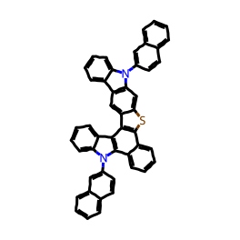 c1ccc2cc(-n3c4ccccc4c4cc5c(cc43)sc3c4ccccc4c4c(c6ccccc6n4-c4ccc6ccccc6c4)c53)ccc2c1